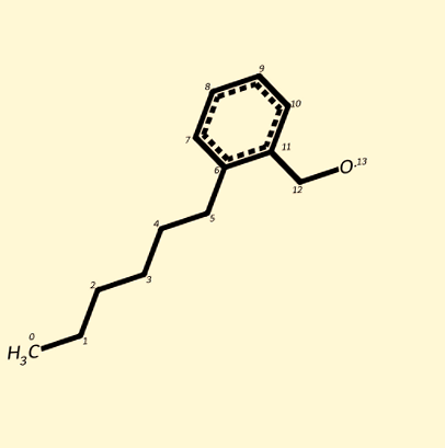 CCCCCCc1ccccc1C[O]